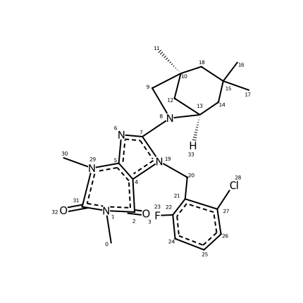 Cn1c(=O)c2c(nc(N3C[C@]4(C)C[C@H]3CC(C)(C)C4)n2Cc2c(F)cccc2Cl)n(C)c1=O